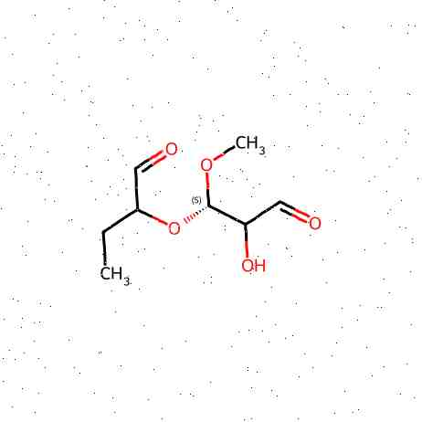 CCC(C=O)O[C@H](OC)C(O)C=O